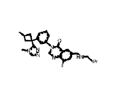 CC(C)CNCc1cc(F)c2ncn(-c3cccc(C4(c5nncn5C)CC(C)C4)c3)c(=O)c2c1